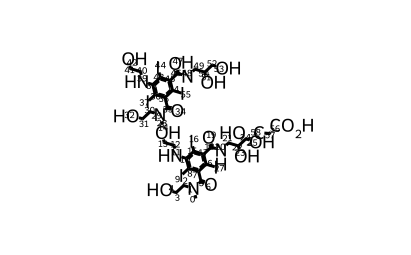 CN(CCO)C(=O)c1c(I)c(NCCO)c(I)c(C(=O)NCC(O)CO)c1I.CN(CCO)C(=O)c1c(I)c(NCCO)c(I)c(C(=O)NCC(O)CO)c1I.O=C(O)CC(=O)O